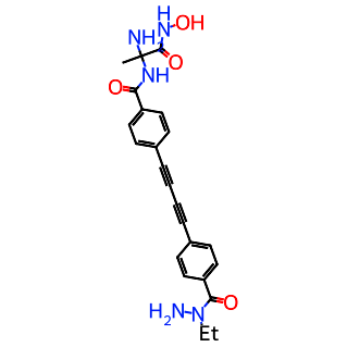 CCN(N)C(=O)c1ccc(C#CC#Cc2ccc(C(=O)NC(C)(N)C(=O)NO)cc2)cc1